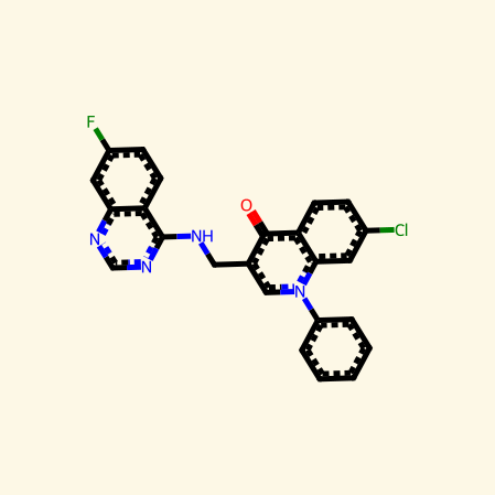 O=c1c(CNc2ncnc3cc(F)ccc23)cn(-c2ccccc2)c2cc(Cl)ccc12